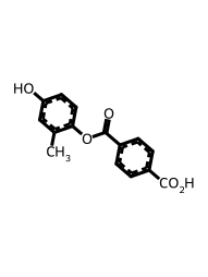 Cc1cc(O)ccc1OC(=O)c1ccc(C(=O)O)cc1